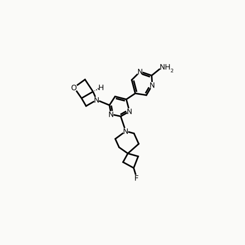 Nc1ncc(-c2cc(N3CC4OC[C@H]43)nc(N3CCC4(CC3)CC(F)C4)n2)cn1